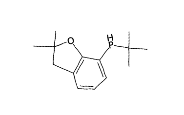 CC1(C)Cc2cccc(PC(C)(C)C)c2O1